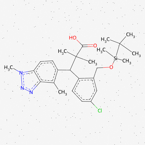 Cc1c(C(c2ccc(Cl)cc2CO[Si](C)(C)C(C)(C)C)C(C)(C)C(=O)O)ccc2c1nnn2C